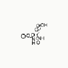 O=C(O)CC(=O)CC[C@H]1NC(=O)[C@H]1NC(=O)COc1ccccc1